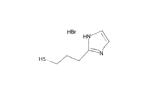 Br.SCCCc1ncc[nH]1